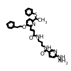 CC(Sc1ccccc1)c1ccc(OCCc2ccccc2)c(C=CC(=O)NCCCNC(=O)c2ccc(NN)nc2)n1